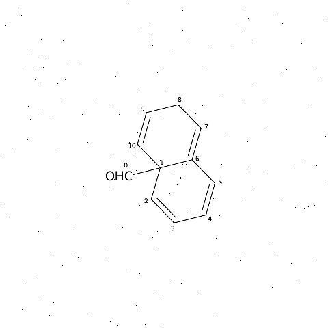 O=CC12C=CC=CC1=CCC=C2